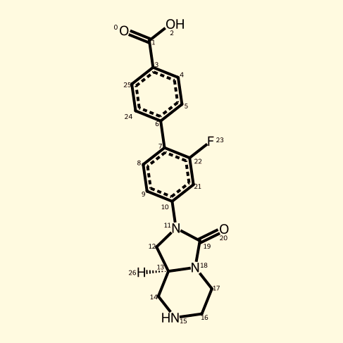 O=C(O)c1ccc(-c2ccc(N3C[C@@H]4CNCCN4C3=O)cc2F)cc1